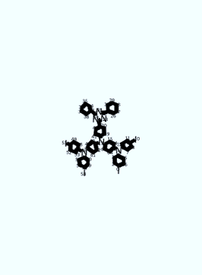 Ic1ccc(N(c2ccc(I)cc2)c2ccc(N(c3ccc(-c4nc(-c5ccccc5)nc(-c5ccccc5)n4)cc3)c3ccc(N(c4ccc(I)cc4)c4ccc(I)cc4)cc3)cc2)cc1